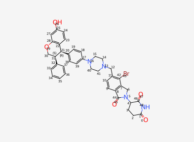 O=C1CCC(N2Cc3c(ccc(CN4CCN(c5ccc([C@@H]6c7ccc(O)cc7OC[C@@H]6c6ccccc6)cc5)CC4)c3Br)C2=O)C(=O)N1